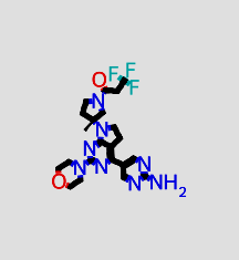 C[C@@]1(N2CCc3c(-c4cnc(N)nc4)nc(N4CCOCC4)nc32)CCN(C(=O)CC(F)(F)F)C1